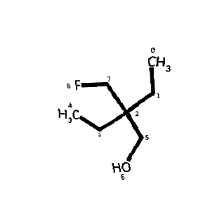 CCC(CC)(CO)CF